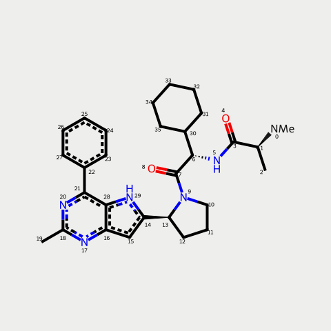 CN[C@@H](C)C(=O)N[C@H](C(=O)N1CCC[C@H]1c1cc2nc(C)nc(-c3ccccc3)c2[nH]1)C1CCCCC1